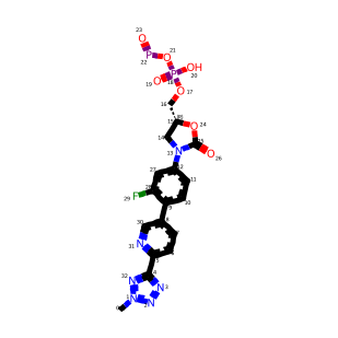 Cn1nnc(-c2ccc(-c3ccc(N4C[C@H](COP(=O)(O)OP=O)OC4=O)cc3F)cn2)n1